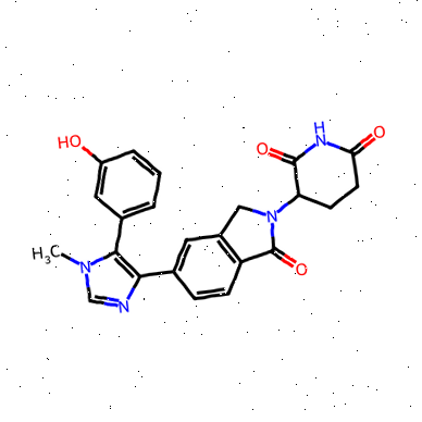 Cn1cnc(-c2ccc3c(c2)CN(C2CCC(=O)NC2=O)C3=O)c1-c1cccc(O)c1